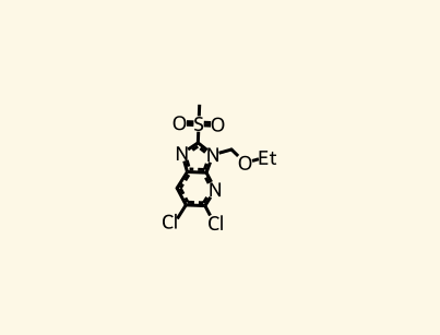 CCOCn1c(S(C)(=O)=O)nc2cc(Cl)c(Cl)nc21